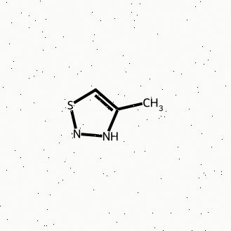 CC1=CS[N]N1